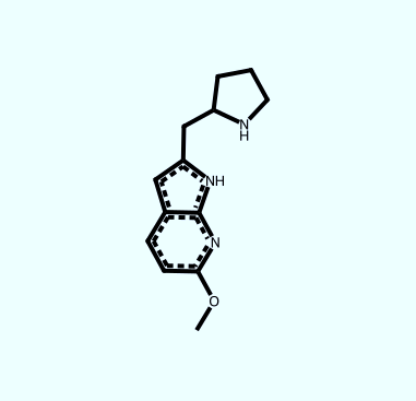 COc1ccc2cc(CC3CCCN3)[nH]c2n1